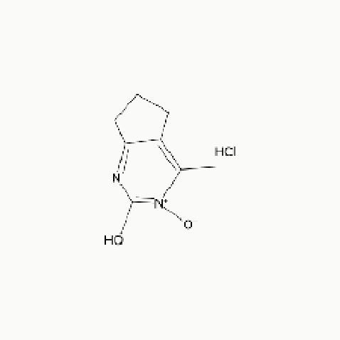 Cc1c2c(nc(O)[n+]1[O-])CCC2.Cl